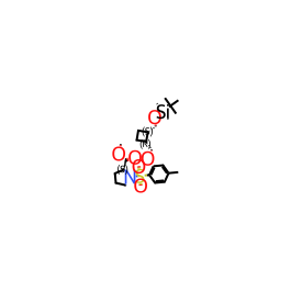 COC(=O)[C@@H]1CCCN1S(=O)(=O)c1ccc(C)cc1OC[C@@H]1CC[C@@H]1CO[Si](C)(C)C(C)(C)C